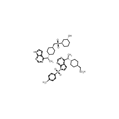 CN(c1ncnc2[nH]ccc12)[C@H]1CC[C@H](CS(=O)(=O)N2CCC[C@@H](O)C2)CC1.Cc1ccc(S(=O)(=O)n2ccc3c(N(C)[C@H]4CC[C@H](CS(=O)(=O)O)CC4)ncnc32)cc1